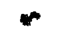 COc1nc(OC)c(-c2cc(C)ncc2C(=O)Nc2nc3c(s2)CN(C(=O)c2ccc(C(F)(F)F)nc2OC)C3)cc1Cl